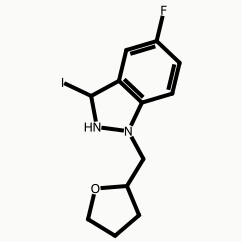 Fc1ccc2c(c1)C(I)NN2CC1CCCO1